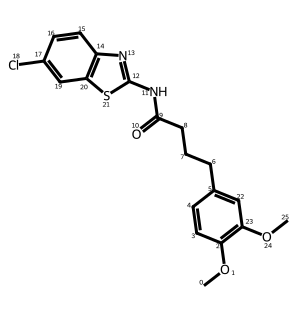 COc1ccc(CCCC(=O)Nc2nc3ccc(Cl)cc3s2)cc1OC